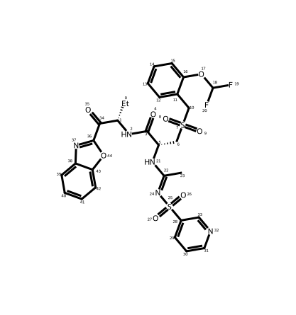 CC[C@H](NC(=O)[C@H](CS(=O)(=O)Cc1ccccc1OC(F)F)N/C(C)=N/S(=O)(=O)c1cccnc1)C(=O)c1nc2ccccc2o1